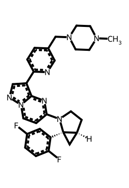 CN1CCN(Cc2ccc(-c3cnn4ccc(N5CC[C@H]6C[C@]65c5cc(F)ccc5F)nc34)nc2)CC1